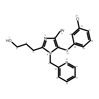 CC(C)c1nc(CCCO)n(Cc2ccccn2)c1Sc1cccc(Cl)c1